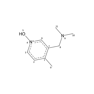 Cc1cc[n+](O)cc1CN(C)C